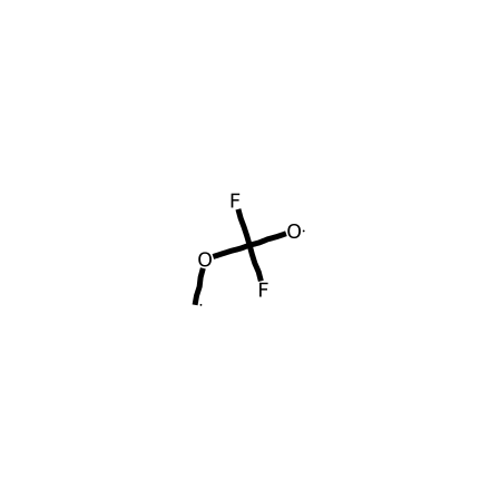 [CH2]OC([O])(F)F